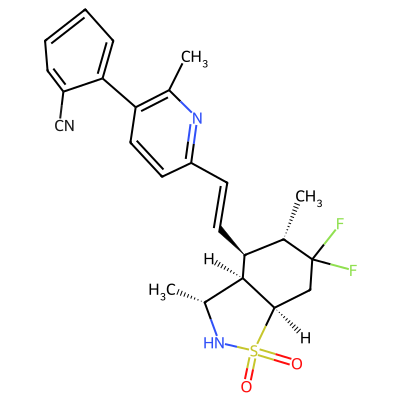 Cc1nc(/C=C/[C@@H]2[C@H]3[C@@H](CC(F)(F)[C@H]2C)S(=O)(=O)N[C@@H]3C)ccc1-c1ccccc1C#N